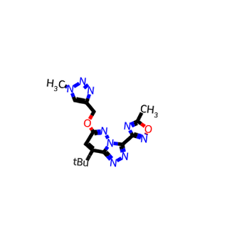 Cc1nc(-c2nnc3c(C(C)(C)C)cc(OCc4cn(C)nn4)nn23)no1